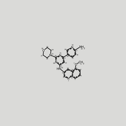 COc1cccc2ncc(Nc3cc(-c4ccc(N)nc4)nc(N4CCOCC4)n3)cc12